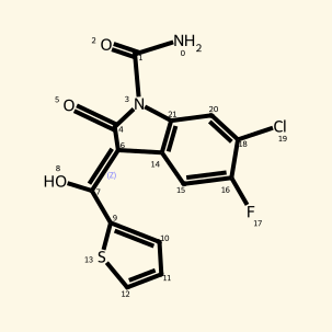 NC(=O)N1C(=O)/C(=C(\O)c2cccs2)c2cc(F)c(Cl)cc21